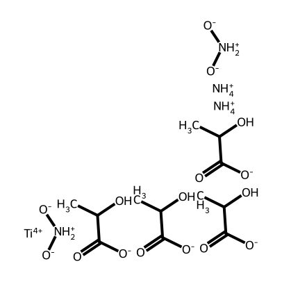 CC(O)C(=O)[O-].CC(O)C(=O)[O-].CC(O)C(=O)[O-].CC(O)C(=O)[O-].[NH4+].[NH4+].[O-][NH2+][O-].[O-][NH2+][O-].[Ti+4]